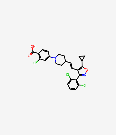 O=C(O)c1ccc(N2CCC(C=Cc3c(-c4c(Cl)cccc4Cl)noc3C3CC3)CC2)cc1Cl